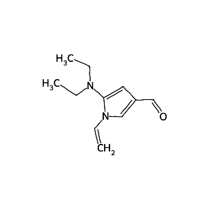 C=Cn1cc(C=O)cc1N(CC)CC